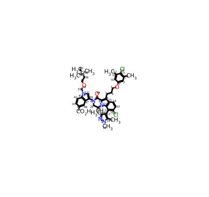 Cc1cc(OCCCc2c3n(c4c(-c5c(C)nn(C)c5C)c(Cl)ccc24)C(C)CN(c2cn(COCC[Si](C)(C)C)c4ccc(C(=O)O)cc24)C3=O)cc(C)c1Cl